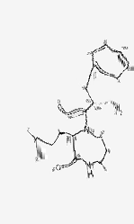 CC(C)C[C@@H]1C(=O)NCCCN1C(=O)[C@@H](N)Cc1ccccc1